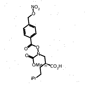 COC(=O)N(C[C@H](CCC(C)C)C(=O)O)OC(=O)c1ccc(CO[N+](=O)[O-])cc1